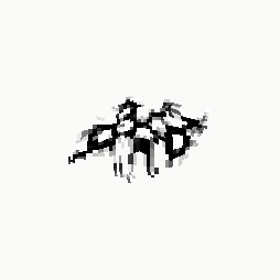 Cn1c(=O)c(-c2ccnn2-c2ccc(C#N)cc2)c(CCBr)n(-c2cccc(C(F)(F)F)c2)c1=O